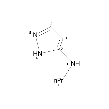 CCCNc1ccn[nH]1